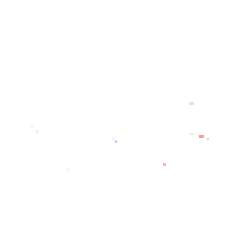 C[C@H]1OC(n2cnc(N)c2)[C@H](O)[C@@H]1O